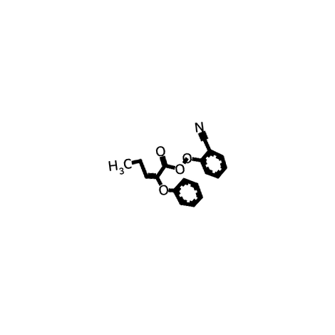 CCC=C(Oc1ccccc1)C(=O)OOc1ccccc1C#N